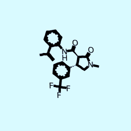 C=C(C)c1ccccc1NC(=O)[C@H]1C(=O)N(C)C[C@@H]1c1cccc(C(F)(F)F)c1